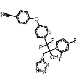 N#Cc1ccc(Oc2ccc(C(F)(F)C(O)(Cn3cnnn3)c3ccc(F)cc3F)nc2)cc1